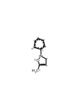 CC1=C[CH]N(c2ccccc2)O1